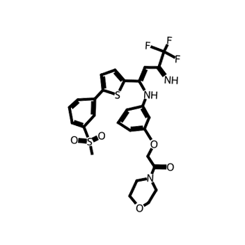 CS(=O)(=O)c1cccc(-c2ccc(/C(=C/C(=N)C(F)(F)F)Nc3cccc(OCC(=O)N4CCOCC4)c3)s2)c1